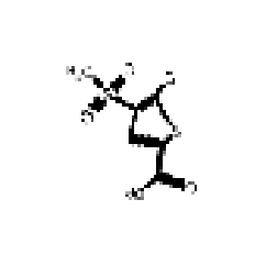 CS(=O)(=O)c1cc(C(=O)O)sc1Cl